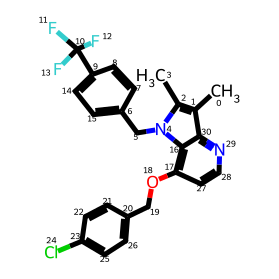 Cc1c(C)n(Cc2ccc(C(F)(F)F)cc2)c2c(OCc3ccc(Cl)cc3)ccnc12